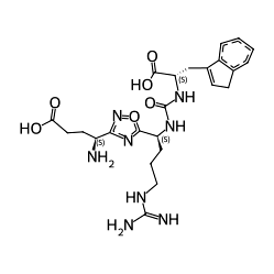 N=C(N)NCCC[C@H](NC(=O)N[C@@H](CC1=CCc2ccccc21)C(=O)O)c1nc([C@@H](N)CCC(=O)O)no1